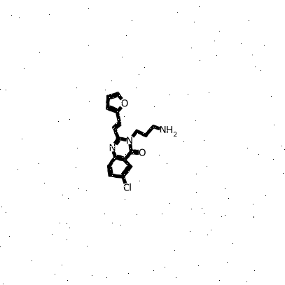 NCCCn1c(/C=C/c2ccco2)nc2ccc(Cl)cc2c1=O